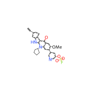 C#Cc1ccc2c(c1)[nH]c1c2c(=O)c2cc(OC)c(-c3cncc(OS(=O)(=O)F)c3)cc2n1C1CCCC1